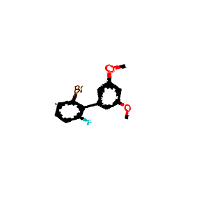 COc1cc(OC)cc(-c2c(Br)[c]ccc2F)c1